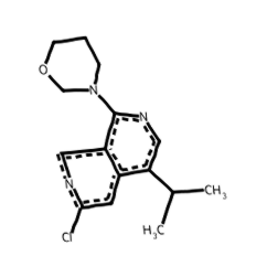 CC(C)c1cnc(N2CCCOC2)c2cnc(Cl)cc12